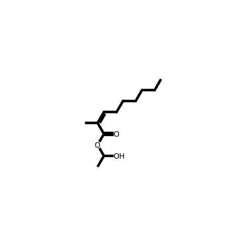 CCCCCCC=C(C)C(=O)OC(C)O